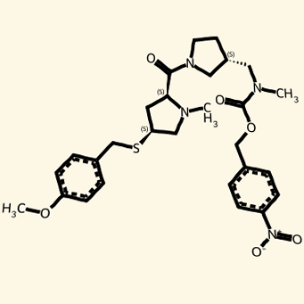 COc1ccc(CS[C@H]2C[C@@H](C(=O)N3CC[C@H](CN(C)C(=O)OCc4ccc([N+](=O)[O-])cc4)C3)N(C)C2)cc1